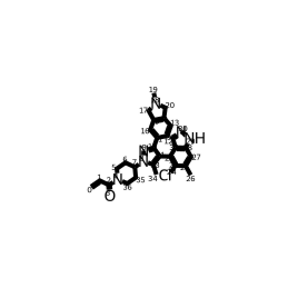 C=CC(=O)N1CCC(n2nc(-c3ccc4c(c3)CN(C)C4)c(-c3c(Cl)c(C)cc4[nH]ncc34)c2C)CC1